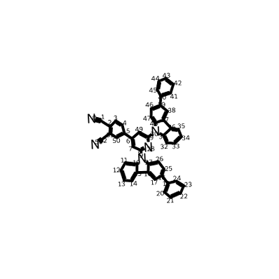 N#Cc1ccc(-c2cc(-n3c4ccccc4c4cc(-c5ccccc5)ccc43)nc(-n3c4ccccc4c4cc(-c5ccccc5)ccc43)c2)cc1C#N